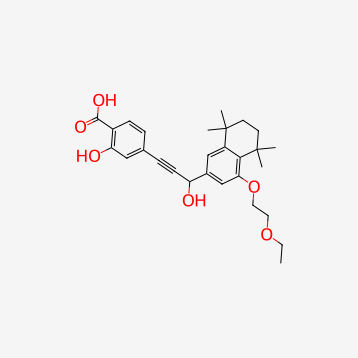 CCOCCOc1cc(C(O)C#Cc2ccc(C(=O)O)c(O)c2)cc2c1C(C)(C)CCC2(C)C